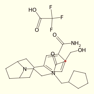 NC(=O)c1cccc(C2CC3CCC(C2)N3CCN(CC2CCCC2)C(=O)CCO)c1.O=C(O)C(F)(F)F